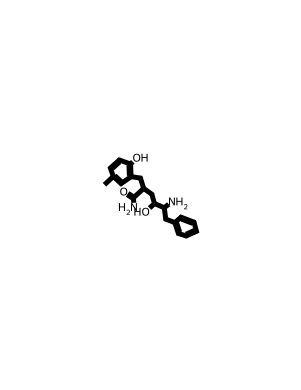 Cc1ccc(O)c(CC(CC(O)C(N)Cc2ccccc2)C(N)=O)c1